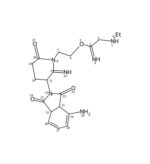 CCNCC(=N)OCCN1C(=N)C(N2C(=O)C3C=CC=C(N)C3C2=O)CCC1=O